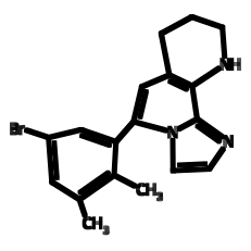 Cc1cc(Br)cc(-c2cc3c(c4nccn24)NCCC3)c1C